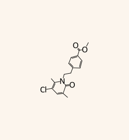 COC(=O)c1ccc(CCn2c(C)c(Cl)cc(C)c2=O)cc1